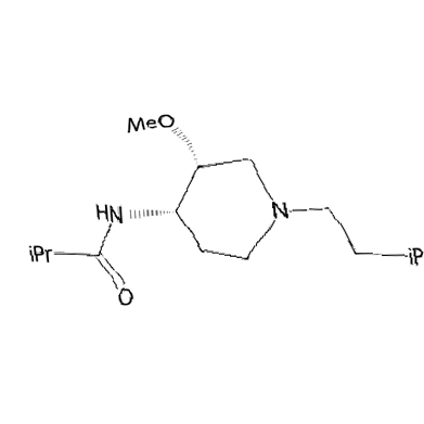 CO[C@@H]1CN(CCC(C)C)CC[C@@H]1NC(=O)C(C)C